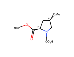 CO[C@@H]1C[C@H](C(=O)OC(C)(C)C)N(C(=O)O)C1